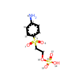 Nc1ccc(S(=O)(=O)CCOS(=O)(=O)O)cc1